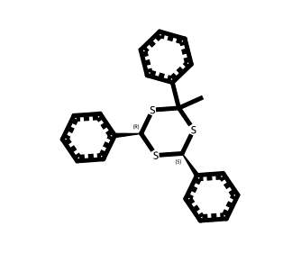 CC1(c2ccccc2)S[C@H](c2ccccc2)S[C@H](c2ccccc2)S1